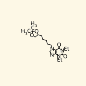 CCn1c(=O)c2c(ncn2CCCCCC2COC(C)(C)O2)n(CC)c1=O